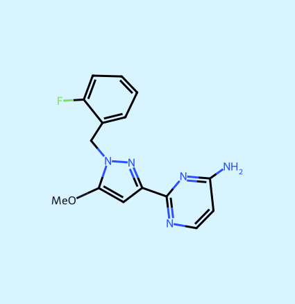 COc1cc(-c2nccc(N)n2)nn1Cc1ccccc1F